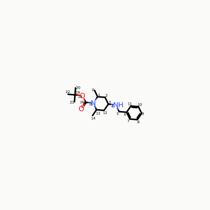 CC1CC(NCc2ccccc2)CC(C)N1C(=O)OC(C)(C)C